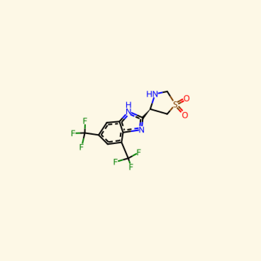 O=S1(=O)CN[C@H](c2nc3c(C(F)(F)F)cc(C(F)(F)F)cc3[nH]2)C1